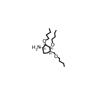 CCCCOC[C@H]1CC[C@H](N)[C@@H](OCCCC)[C@@H]1OCCCC